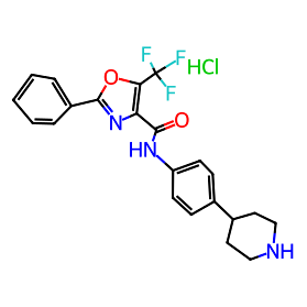 Cl.O=C(Nc1ccc(C2CCNCC2)cc1)c1nc(-c2ccccc2)oc1C(F)(F)F